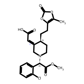 COC(=O)[C@H](c1ccccc1Cl)N1CC[C@H](CCc2oc(=O)oc2C)/C(=C\C(=O)O)C1